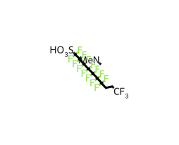 CNC.O=S(=O)(O)C(F)(F)C(F)(F)C(F)(F)C(F)(F)C(F)(F)C(F)(F)C(F)(F)CCC(F)(F)F